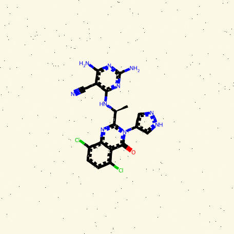 C[C@H](Nc1nc(N)nc(N)c1C#N)c1nc2c(Cl)ccc(Cl)c2c(=O)n1-c1cn[nH]c1